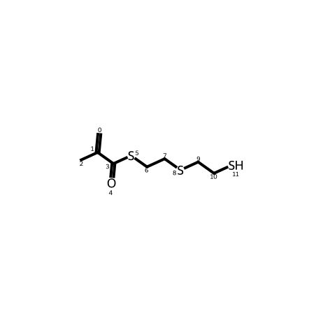 C=C(C)C(=O)SCCSCCS